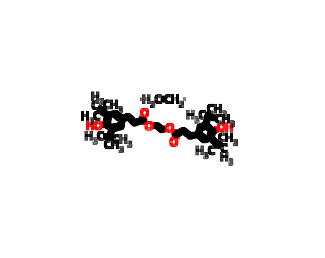 CC(C)(C)c1cc(CCC(=O)OCCOC(=O)CCc2cc(C(C)(C)C)c(O)c(C(C)(C)C)c2)cc(C(C)(C)C)c1O.[CH2][CH2]